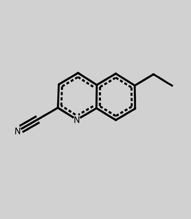 CCc1ccc2nc(C#N)ccc2c1